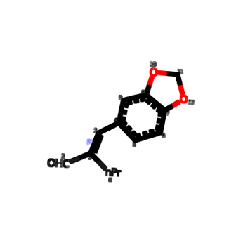 CCC/C(C=O)=C\c1ccc2c(c1)OCO2